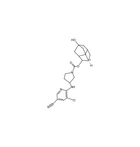 N#Cc1cnc(NC2CCN(C(=O)OC3C4CC5C[C@@H]3CC(O)(C5)C4)C2)c(Cl)c1